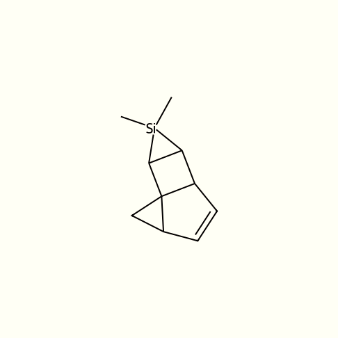 C[Si]1(C)C2C3C=CC4CC43C21